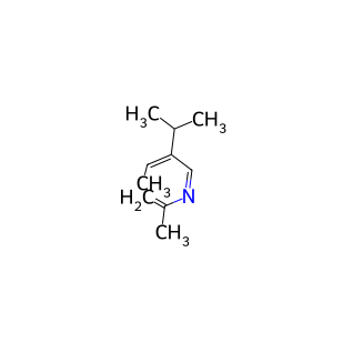 C=C(C)/N=C\C(=C/C)C(C)C